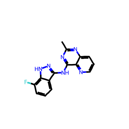 Cc1nc(Nc2n[nH]c3c(F)cccc23)c2ncccc2n1